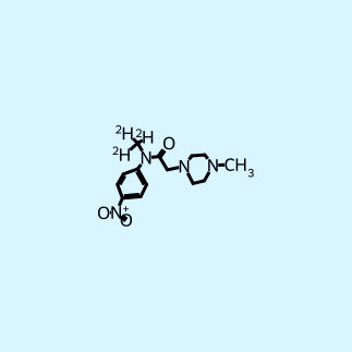 [2H]C([2H])([2H])N(C(=O)CN1CCN(C)CC1)c1ccc([N+](=O)[O-])cc1